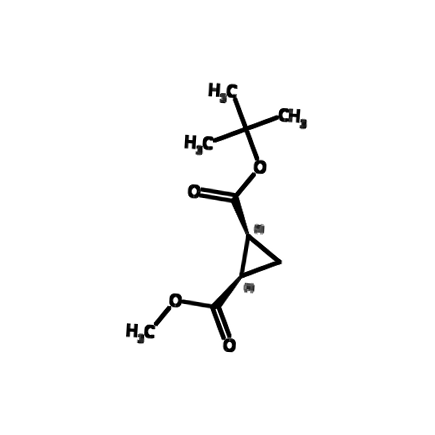 COC(=O)[C@@H]1C[C@@H]1C(=O)OC(C)(C)C